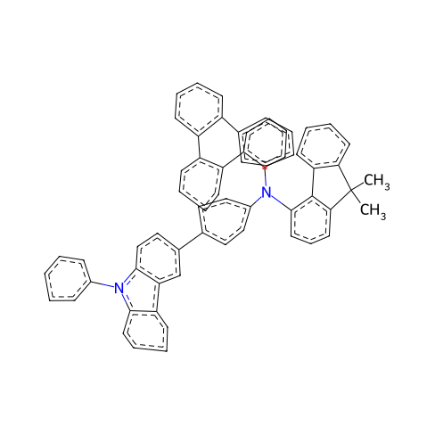 CC1(C)c2ccccc2-c2c(N(c3ccc(-c4ccc5c(c4)c4ccccc4n5-c4ccccc4)cc3)c3ccccc3-c3ccccc3-c3ccccc3-c3ccccc3)cccc21